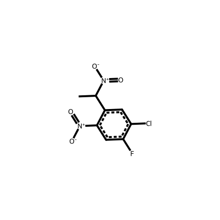 CC(c1cc(Cl)c(F)cc1[N+](=O)[O-])[N+](=O)[O-]